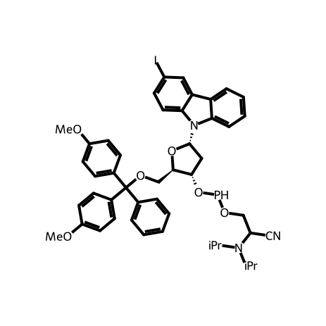 COc1ccc(C(OC[C@H]2O[C@H](n3c4ccccc4c4cc(I)ccc43)C[C@@H]2OPOCC(C#N)N(C(C)C)C(C)C)(c2ccccc2)c2ccc(OC)cc2)cc1